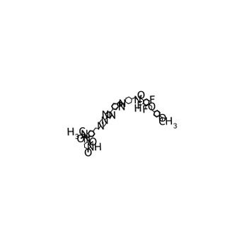 COc1ccc(COc2c(F)cc(C(=O)NCC3CCC(n4cc5ccc(-c6cnc(N7CCN(CCc8ccc9c(c8)n(C)c(=O)n9C8CCC(=O)NC8=O)CC7)cn6)cc5n4)CC3)c(F)c2F)cc1